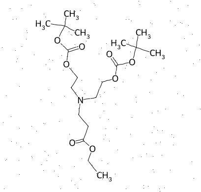 CCOC(=O)CCN(CCOC(=O)OC(C)(C)C)CCOC(=O)OC(C)(C)C